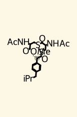 COC(=O)C(CSC(=O)C(CSC(=O)[C@@H](C)c1ccc(CC(C)C)cc1)NC(C)=O)NC(C)=O